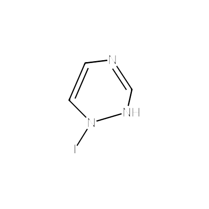 IN1C=CN=CN1